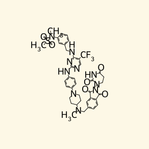 CN(Cc1ccc2c(c1)C(=O)N(N1CCC(=O)NC1=O)C2=O)C1CCN(c2ccc(Nc3ncc(C(F)(F)F)c(NCc4cccc(N(C)S(C)(=O)=O)c4)n3)cc2)CC1